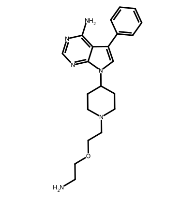 NCCOCCN1CCC(n2cc(-c3ccccc3)c3c(N)ncnc32)CC1